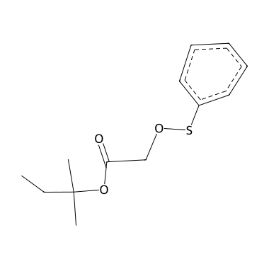 CCC(C)(C)OC(=O)COSc1ccccc1